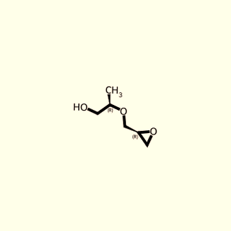 C[C@H](CO)OC[C@@H]1CO1